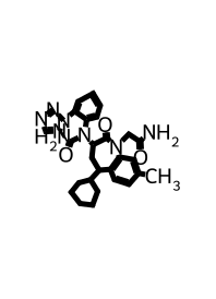 Cc1ccc2c(c1)N(CC(N)=O)C(=O)C(N(C(N)=O)c1ccccc1-n1ncnn1)CC2C1CCCCC1